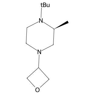 C[C@H]1CN(C2COC2)CCN1C(C)(C)C